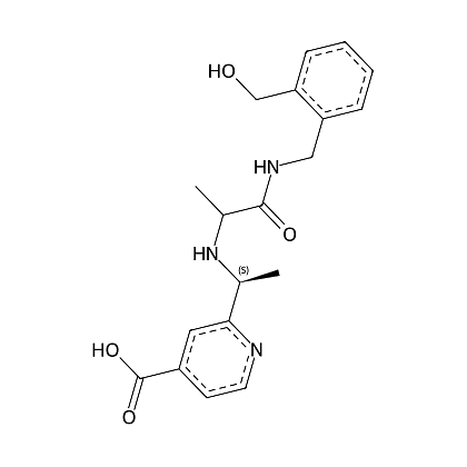 CC(N[C@@H](C)c1cc(C(=O)O)ccn1)C(=O)NCc1ccccc1CO